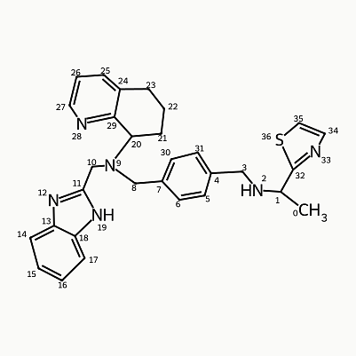 CC(NCc1ccc(CN(Cc2nc3ccccc3[nH]2)C2CCCc3cccnc32)cc1)c1nccs1